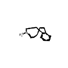 NN1CCC2(C=Cc3ccccc32)CC1